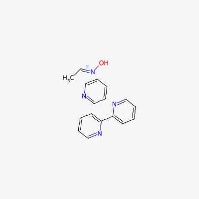 C/C=N/O.c1ccc(-c2ccccn2)nc1.c1ccncc1